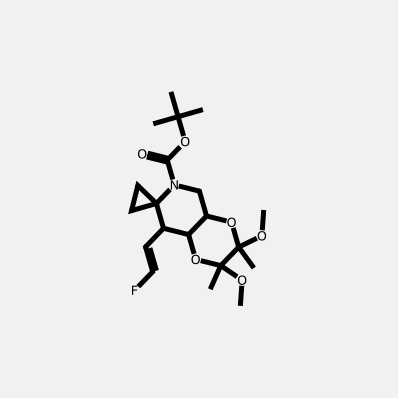 COC1(C)OC2CN(C(=O)OC(C)(C)C)C3(CC3)C(/C=C/F)C2OC1(C)OC